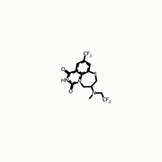 CN(CC(F)(F)F)C1CSc2cc(C(F)(F)F)cc3c(=O)[nH]c(=O)n(c23)C1